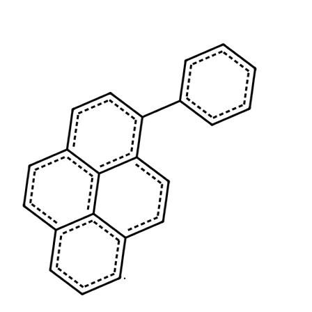 [c]1ccc2ccc3ccc(-c4ccccc4)c4ccc1c2c34